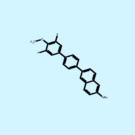 CCCCc1ccc2cc(-c3ccc(-c4cc(F)c(OC(F)(F)F)c(F)c4)cc3)ccc2c1